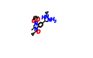 CC(C)OC(=O)N1C[C@H](C)N(C(=O)C2CC2)c2ccc(C(CN)CNC3CC3)cc21